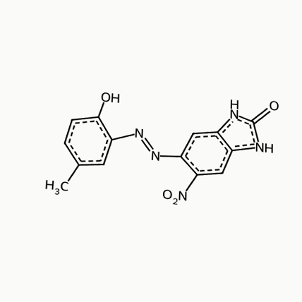 Cc1ccc(O)c(N=Nc2cc3[nH]c(=O)[nH]c3cc2[N+](=O)[O-])c1